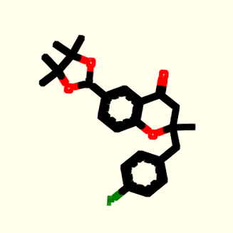 CC1(Cc2ccc(F)cc2)CC(=O)c2cc(B3OC(C)(C)C(C)(C)O3)ccc2O1